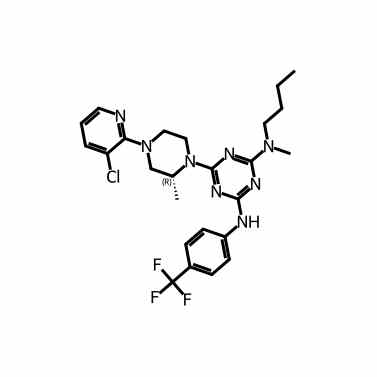 CCCCN(C)c1nc(Nc2ccc(C(F)(F)F)cc2)nc(N2CCN(c3ncccc3Cl)C[C@H]2C)n1